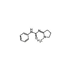 CN1CCC/C1=N/C(=O)Nc1ccccc1